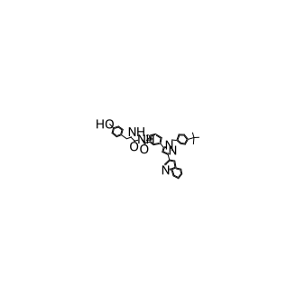 CC(C)(C)c1ccc(Cn2nc(-c3cnc4ccccc4c3)cc2-c2cccc(C(=O)NC(=O)C(N)Cc3ccc(O)cc3)c2)cc1